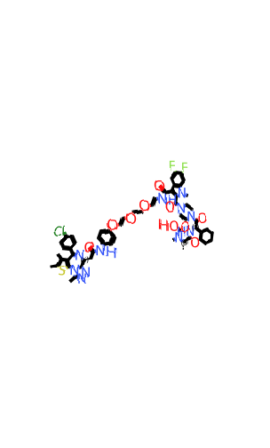 Cc1sc2c(c1C)C(c1ccc(Cl)cc1)=N[C@@H](CC(=O)Nc1ccc(OCCOCCOCCNC(=O)c3c(C(=O)N4CCN(C(=O)[C@@H](NC(=O)[C@H](C)N(C)C(=O)O)C5CCCCC5)CC4)n(C)c4cc(F)c(F)cc34)cc1)c1nnc(C)n1-2